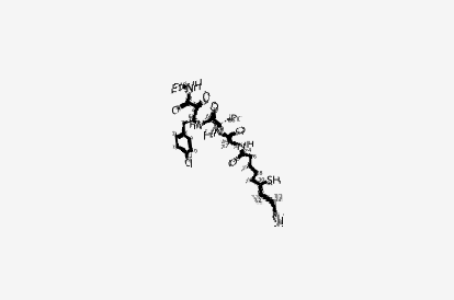 CCNC(=O)C(=O)[C@H](Cc1ccc(Cl)cc1)NC(=O)[C@@H](NC(=O)CNC(=O)CCCCC(S)CCS)C(C)C